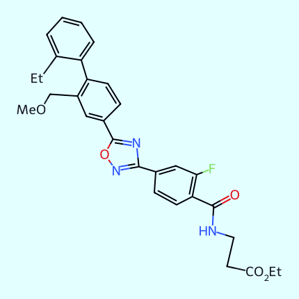 CCOC(=O)CCNC(=O)c1ccc(-c2noc(-c3ccc(-c4ccccc4CC)c(COC)c3)n2)cc1F